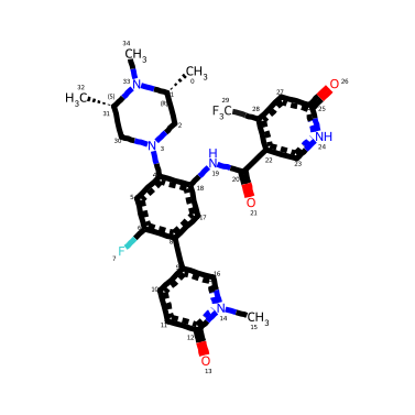 C[C@@H]1CN(c2cc(F)c(-c3ccc(=O)n(C)c3)cc2NC(=O)c2c[nH]c(=O)cc2C(F)(F)F)C[C@H](C)N1C